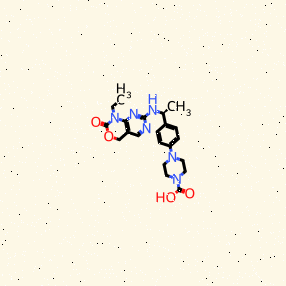 CCN1C(=O)OCc2cnc(N[C@@H](C)c3ccc(N4CCN(C(=O)O)CC4)cc3)nc21